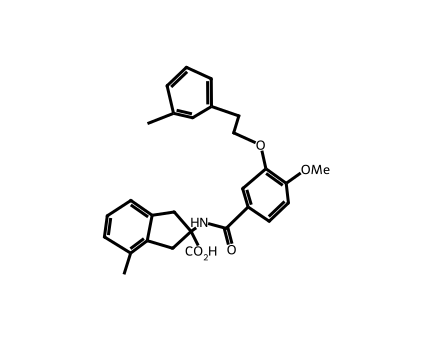 COc1ccc(C(=O)NC2(C(=O)O)Cc3cccc(C)c3C2)cc1OCCc1cccc(C)c1